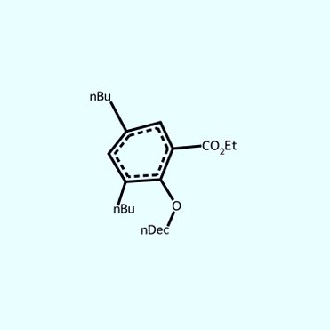 CCCCCCCCCCOc1c(CCCC)cc(CCCC)cc1C(=O)OCC